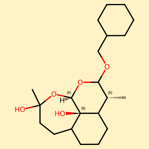 C[C@H]1C(OCC2CCCCC2)O[C@@H]2OC(C)(O)CCC3CCCC1[C@]32O